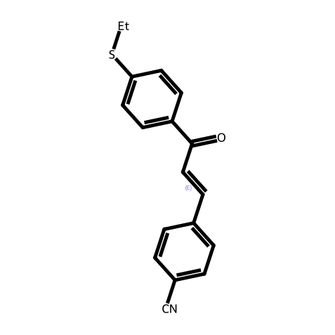 CCSc1ccc(C(=O)/C=C/c2ccc(C#N)cc2)cc1